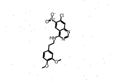 COc1ccc(CCNc2ncnc3cc(Cl)c([N+](=O)[O-])cc23)cc1OC